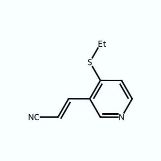 CCSc1ccncc1C=CC#N